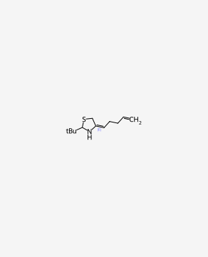 C=CCC/C=C1\CSC(C(C)(C)C)N1